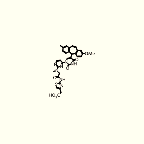 COc1ccc2c(c1)C=Cc1cc(C)ccc1C2c1cn(-c2ccnc(N(C)CC(=O)Nc3nc(CC(=O)O)cs3)n2)c(=O)[nH]c1=O